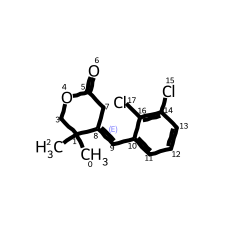 CC1(C)COC(=O)C/C1=C\c1cccc(Cl)c1Cl